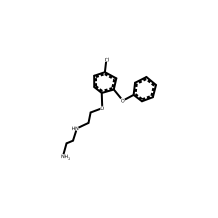 NCCNCCOc1ccc(Cl)cc1Oc1ccccc1